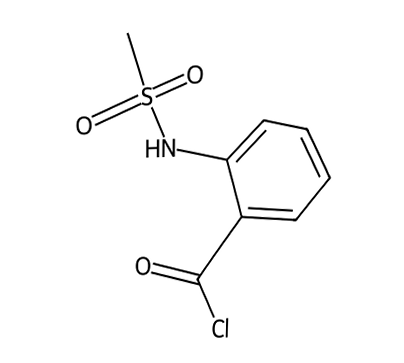 CS(=O)(=O)Nc1ccccc1C(=O)Cl